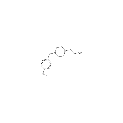 Nc1ccc(CN2CCN(CCO)CC2)cc1